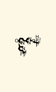 O=c1ccc(-c2cnc(OCC(F)(F)P)nc2)nn1Cc1ccc(C(F)(F)I)nc1